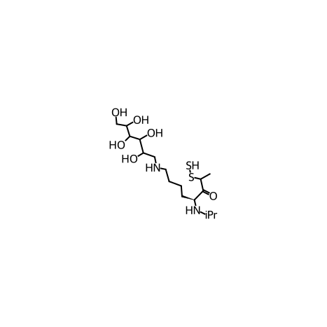 CC(C)N[C@@H](CCCCNCC(O)C(O)C(O)C(O)CO)C(=O)C(C)SS